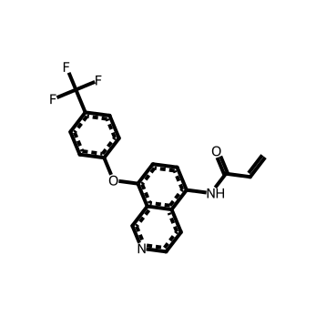 C=CC(=O)Nc1ccc(Oc2ccc(C(F)(F)F)cc2)c2cnccc12